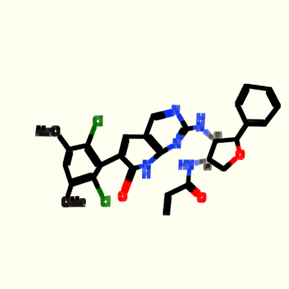 C=CC(=O)N[C@H]1COC(c2ccccc2)[C@H]1Nc1ncc2cc(-c3c(Cl)c(OC)cc(OC)c3Cl)c(=O)[nH]c2n1